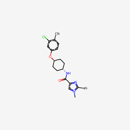 CC(C)c1nc(C(=O)N[C@H]2CC[C@H](Oc3ccc(C#N)c(Cl)c3)CC2)cn1C